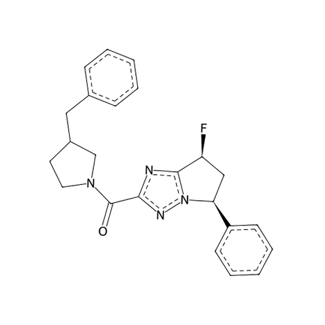 O=C(c1nc2n(n1)[C@H](c1ccccc1)C[C@@H]2F)N1CCC(Cc2ccccc2)C1